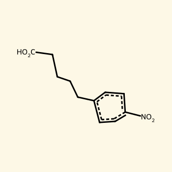 O=C(O)CCCCc1ccc([N+](=O)[O-])cc1